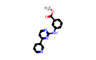 COC(=O)c1cccc(Nc2nccc(-c3cccnc3)n2)c1